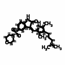 Cc1[nH]c(C=C2C(=O)Nc3ccc(S(=O)(=O)N4CCOCC4)cc32)c(C)c1CCCN(C)C